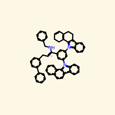 C1=CC2=C(CC1)c1c(c3ccccc3n1-c1cc(/C(=C/Cc3cccc(-c4ccccc4)c3)NCc3ccccc3)cc(-n3c4ccccc4c4ccc5ccccc5c43)c1)CC2